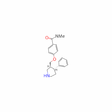 CNC(=O)c1ccc(OC[C@@H]2CNCC[C@H]2c2ccccc2)cc1